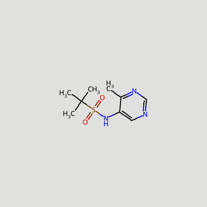 Cc1ncncc1NS(=O)(=O)C(C)(C)C